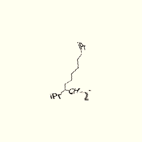 [CH2]C(CCCCCCC(C)C)C(C)C